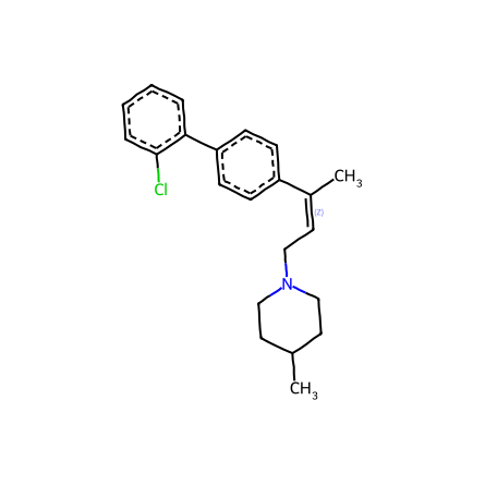 C/C(=C/CN1CCC(C)CC1)c1ccc(-c2ccccc2Cl)cc1